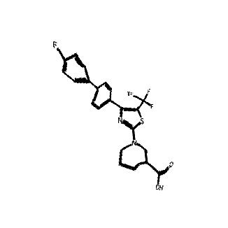 O=C(O)C1CCCN(c2nc(-c3ccc(-c4ccc(F)cc4)cc3)c(C(F)(F)F)s2)C1